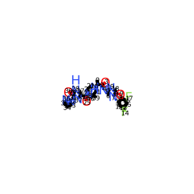 C=C(C(=O)Nc1cnc(Oc2ccc(F)cc2F)cn1)N1CCN(C(=O)c2c[nH]c(=O)c(-n3cccn3)n2)C(C)(C)C1